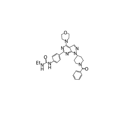 CCNC(=O)Nc1ccc(-c2nc(N3CCOCC3)c3cnn(C4CCN(C(=O)c5ccccc5)CC4)c3n2)cc1